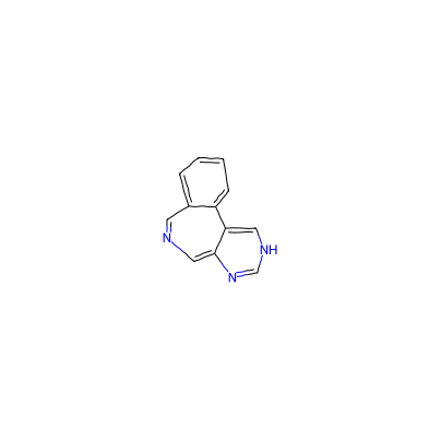 C1=NC=C2N=CNC=C2c2ccccc21